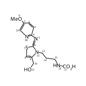 COc1ccc(/N=c2\scc(CO)n2CCCNC(=O)O)nc1